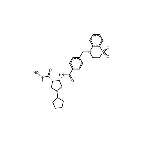 O=C(N[C@@H]1CN(C2CCCC2)C[C@@H]1C(=O)NO)c1ccc(CN2CCS(=O)(=O)c3ccccc32)cc1